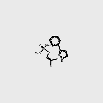 COP(=O)(OC)OC=C(Cl)Cl.c1ccc(-c2cc[nH]n2)cc1